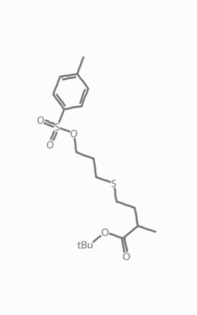 Cc1ccc(S(=O)(=O)OCCCSCCC(C)C(=O)OC(C)(C)C)cc1